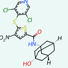 O=C(N[C@]12C[C@@H]3C[C@@H](C[C@@](O)(C3)C1)C2)c1cc([N+](=O)[O-])c(Sc2c(Cl)cncc2Cl)s1